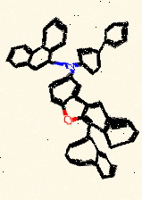 c1ccc(-c2ccc(N(c3ccc4oc5c(-c6cccc7ccccc67)c6ccccc6cc5c4c3)c3cc4ccccc4c4ccccc34)cc2)cc1